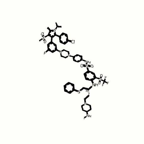 Cc1c(S(C)(=O)=O)c(-c2cc(F)cc(N3CCN(c4ccc(NS(=O)(=O)c5ccc(N[C@H](CCN6CCC(NI)CC6)CSc6ccccc6)c(S(=O)(=O)C(F)(F)F)c5)cc4)CC3)c2)c(-c2ccc(Cl)cc2)n1C(C)C